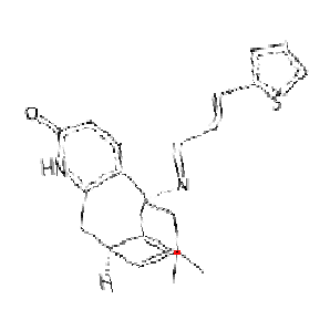 C/C=C1\[C@H]2C=C(C)C[C@]1(/N=C/C=C/c1cccs1)c1ccc(=O)[nH]c1C2